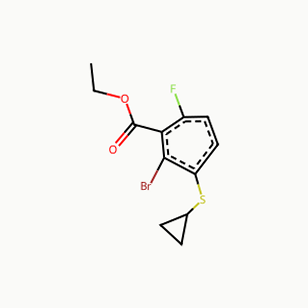 CCOC(=O)c1c(F)ccc(SC2CC2)c1Br